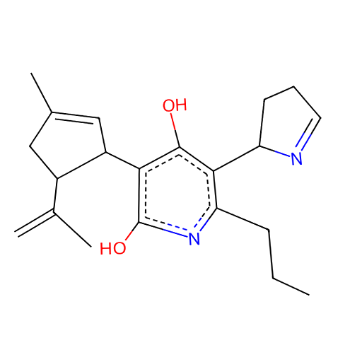 C=C(C)C1CC(C)=CC1c1c(O)nc(CCC)c(C2CCC=N2)c1O